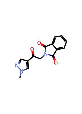 Cn1cc(C(=O)CN2C(=O)c3ccccc3C2=O)cn1